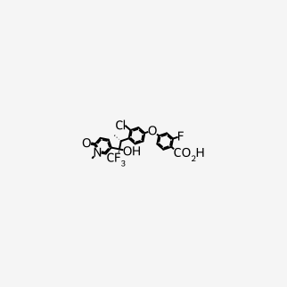 C[C@H](c1ccc(Oc2ccc(C(=O)O)c(F)c2)cc1Cl)[C@@](O)(c1ccc(=O)n(C)c1)C(F)(F)F